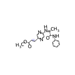 COC(=O)/C=C/c1cnc(N[C@H](C)C(=O)Nc2ccccc2)cn1